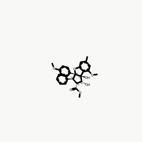 COC(=O)[C@H]1[C@@H](O)[C@@]2(O)c3c(OC)cc(C)cc3O[C@@]2(c2ccc(OC)cc2)[C@@H]1c1ccccc1